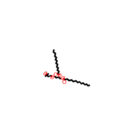 CCCCCCCCCCCCCC(=O)OCC(CCOCCC(C)(C)OC)OC(=O)CCCCCCCCCCCCC